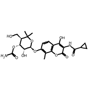 Cc1c(O[C@@H]2OC(C)(C)[C@H](CO)[C@@H](OC(N)=O)[C@H]2O)ccc2c(O)c(NC(=O)C3CC3)c(=O)oc12